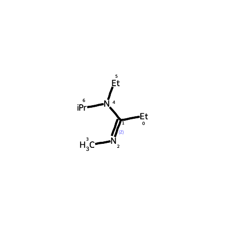 CC/C(=N/C)N(CC)C(C)C